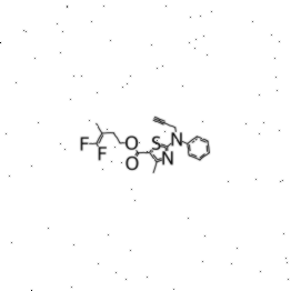 C#CCN(c1ccccc1)c1nc(C)c(C(=O)OCCC(C)=C(F)F)s1